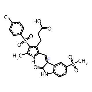 Cc1[nH]c(/C=C2\C(=O)Nc3ccc(S(C)(=O)=O)cc32)c(CCC(=O)O)c1S(=O)(=O)c1ccc(Cl)cc1